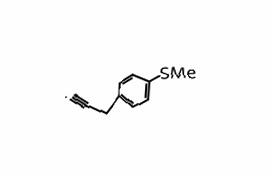 [C]#CCc1ccc(SC)cc1